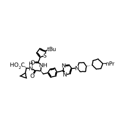 CCC[C@H]1CC[C@H](C2CCN(c3cnc(-c4ccc(C[C@H](NC(=O)c5ccc(C(C)(C)C)s5)C(=O)N[C@@H](C(=O)O)C5CC5)cc4)nc3)CC2)CC1